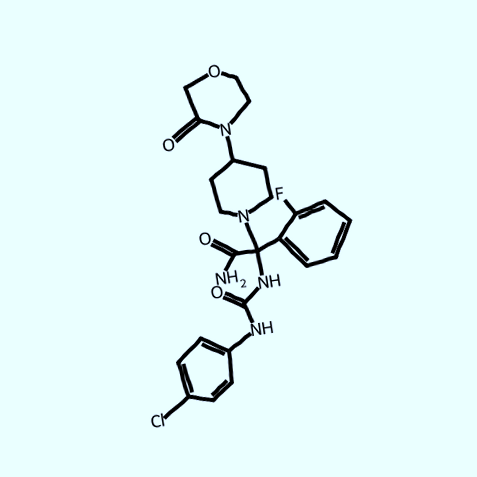 NC(=O)C(NC(=O)Nc1ccc(Cl)cc1)(c1ccccc1F)N1CCC(N2CCOCC2=O)CC1